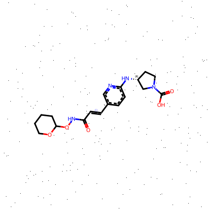 O=C(/C=C/c1ccc(N[C@@H]2CCN(C(=O)O)C2)nc1)NOC1CCCCO1